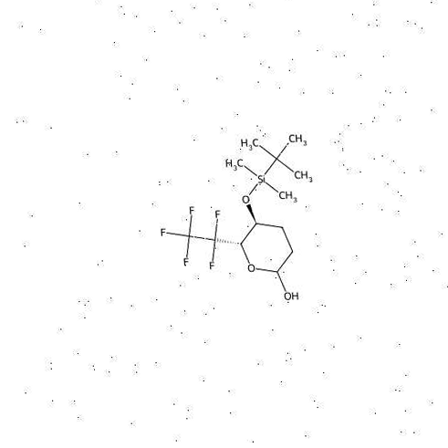 CC(C)(C)[Si](C)(C)O[C@H]1CCC(O)O[C@@H]1C(F)(F)C(F)(F)F